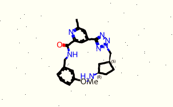 COc1cccc(CNC(=O)c2cc(-c3nnn(C[C@H]4CC[C@@H](N)C4)n3)cc(C)n2)c1